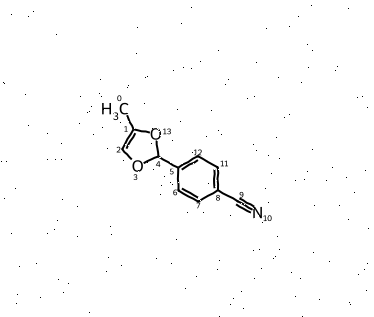 CC1=COC(c2ccc(C#N)cc2)O1